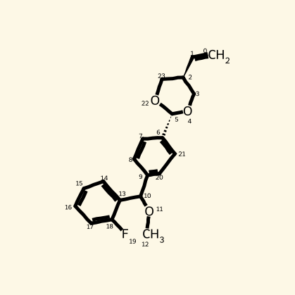 C=C[C@H]1CO[C@H](c2ccc(C(OC)c3ccccc3F)cc2)OC1